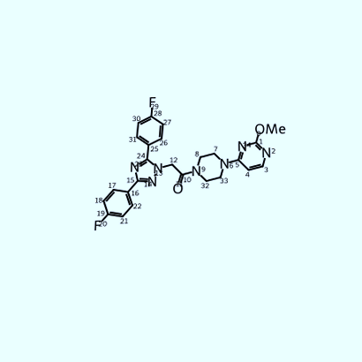 COc1nccc(N2CCN(C(=O)Cn3nc(-c4ccc(F)cc4)nc3-c3ccc(F)cc3)CC2)n1